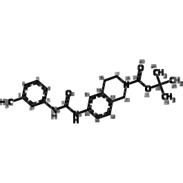 Cc1cccc(NC(=O)Nc2ccc3c(c2)CCN(C(=O)OC(C)(C)C)C3)c1